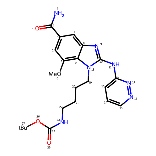 COc1cc(C(N)=O)cc2nc(Nc3cccnn3)n(CCCCNC(=O)OC(C)(C)C)c12